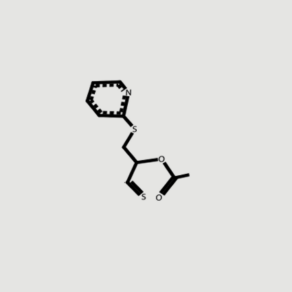 CC(=O)OC([C]=S)CSc1ccccn1